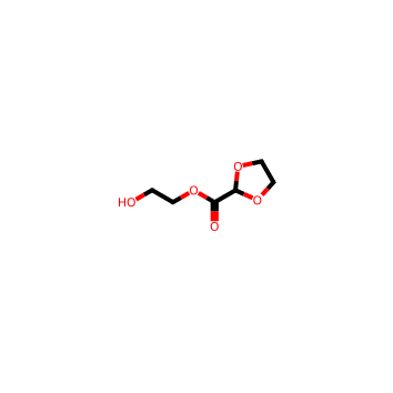 O=C(OCCO)C1OCCO1